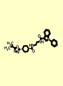 CC(C)c1nnc([C@H]2CC[C@H](C(=O)NCCNC(=O)c3cn(-c4ccccc4)c4ccccc34)CC2)o1